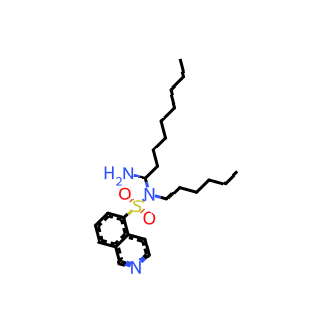 CCCCCCCCC(N)N(CCCCCC)S(=O)(=O)c1cccc2cnccc12